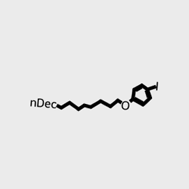 CCCCCCCCCCCCCCCCCCOc1ccc(I)cc1